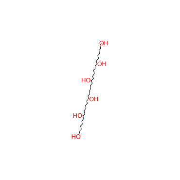 OCCCCCCCC(O)CCCCCCC(O)CCCCCCC(O)CCCCCCC(O)CCCCCCCO